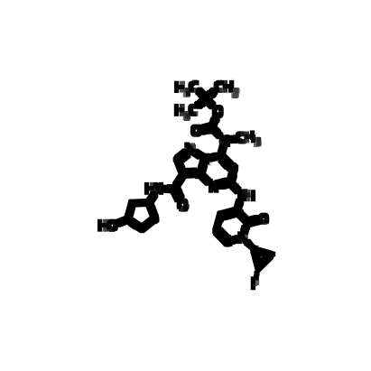 CN(C(=O)OC(C)(C)C)c1cc(Nc2cccn([C@H]3C[C@@H]3F)c2=O)nc2c(C(=O)NC3CCC(O)C3)cnn12